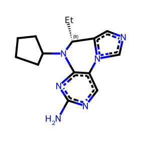 CC[C@@H]1c2cncn2-c2cnc(N)nc2N1C1CCCC1